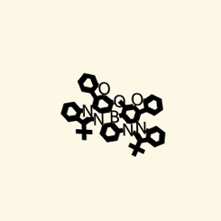 CC(C)(C)c1c2ccccc2n2c3c4c(oc5ccccc54)c4c5c3n(c12)-c1cccc2c1B5c1c(c3oc5ccccc5c3c3c1n-2c1c(C(C)(C)C)c2ccccc2n31)O4